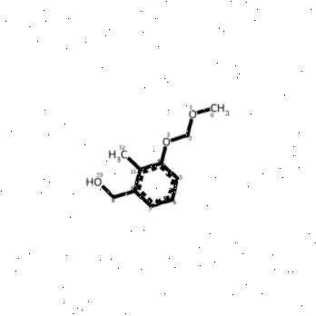 COCOc1cccc(CO)c1C